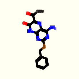 COC(=O)c1nc2c(N)nc(SCc3ccccc3)nc2[nH]c1=O